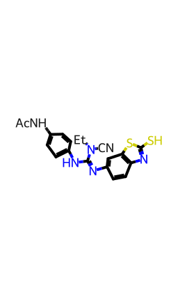 CCN(C#N)C(=Nc1ccc2nc(S)sc2c1)Nc1ccc(NC(C)=O)cc1